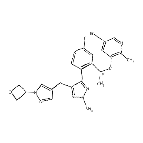 Cc1ncc(Br)cc1O[C@H](C)c1cc(F)ccc1-c1nn(C)nc1Cc1cnn(C2COC2)c1